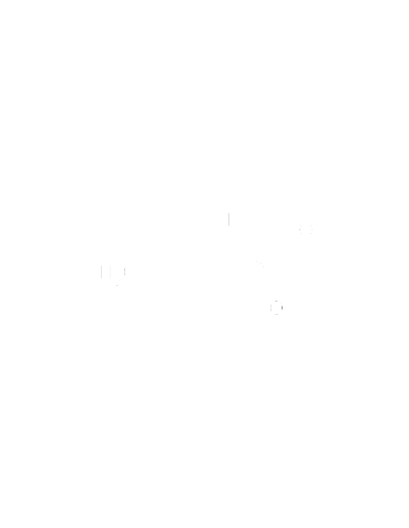 [CH2]CCS(=O)(=O)I